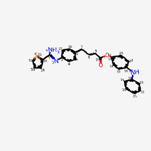 NC(=Nc1ccc(CCCC(=O)Oc2ccc(Nc3ccccc3)cc2)cc1)c1cccs1